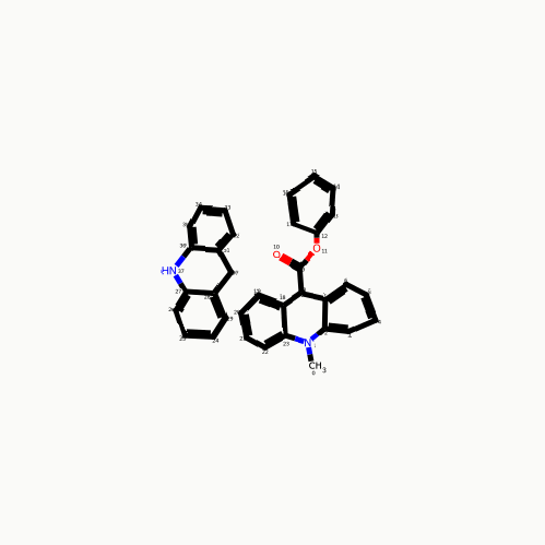 CN1c2ccccc2C(C(=O)Oc2ccccc2)c2ccccc21.c1ccc2c(c1)Cc1ccccc1N2